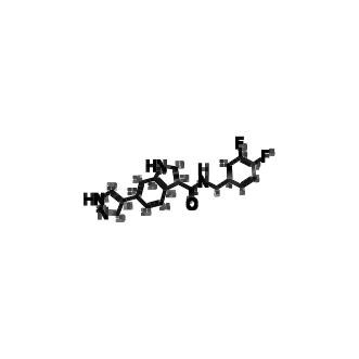 O=C(NCc1ccc(F)c(F)c1)c1c[nH]c2cc(-c3cn[nH]c3)ccc12